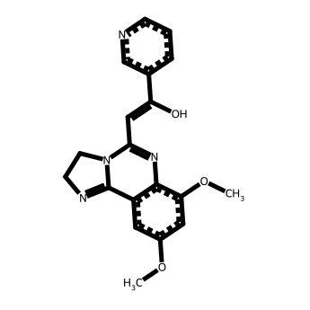 COc1cc(OC)c2c(c1)C1=NCCN1C(/C=C(\O)c1cccnc1)=N2